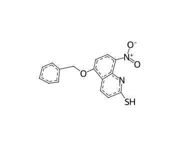 O=[N+]([O-])c1ccc(OCc2ccccc2)c2ccc(S)nc12